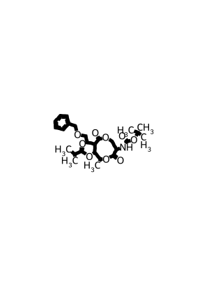 CC(C)C(=O)OC1C(C)OC(=O)C(NC(=O)OC(C)(C)C)COC(=O)C1CCOCc1ccccc1